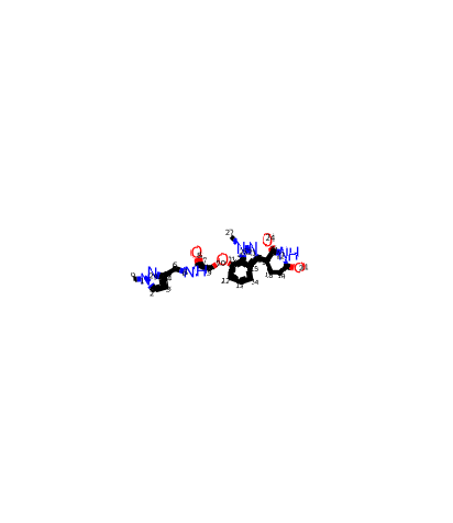 Cn1ccc(CNC(=O)COc2cccc3c(C4CCC(=O)NC4=O)nn(C)c23)n1